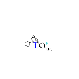 Cc1ccc([C@H](CC2CC2)N[C@@H](C)c2ccccc2)cc1F